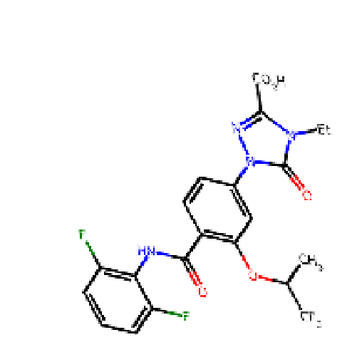 CCn1c(C(=O)O)nn(-c2ccc(C(=O)Nc3c(F)cccc3F)c(OC(C)C(F)(F)F)c2)c1=O